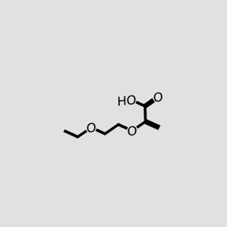 C=C(OCCOCC)C(=O)O